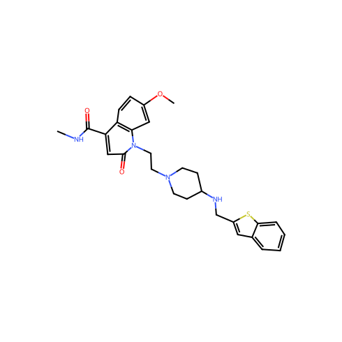 CNC(=O)c1cc(=O)n(CCN2CCC(NCc3cc4ccccc4s3)CC2)c2cc(OC)ccc12